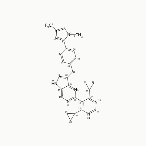 Cn1cc(C(F)(F)F)nc1-c1ccc(Cc2c[nH]c3cnc(-c4c(C5CC5)ncnc4C4CC4)nc23)cc1